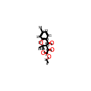 CCOC(=O)C(=O)C1C(=O)c2ccc(C)cc2OC1(C)C